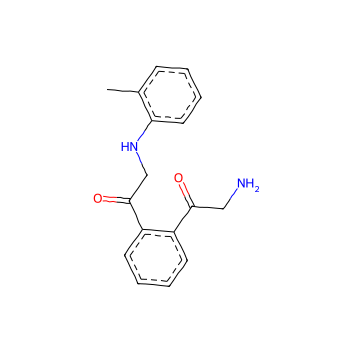 Cc1ccccc1NCC(=O)c1ccccc1C(=O)CN